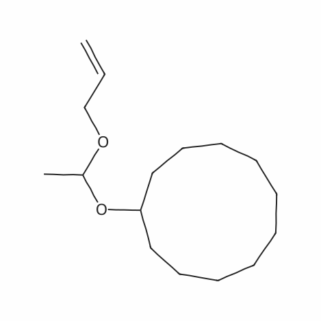 C=CCOC(C)OC1CCCCCCCCCC1